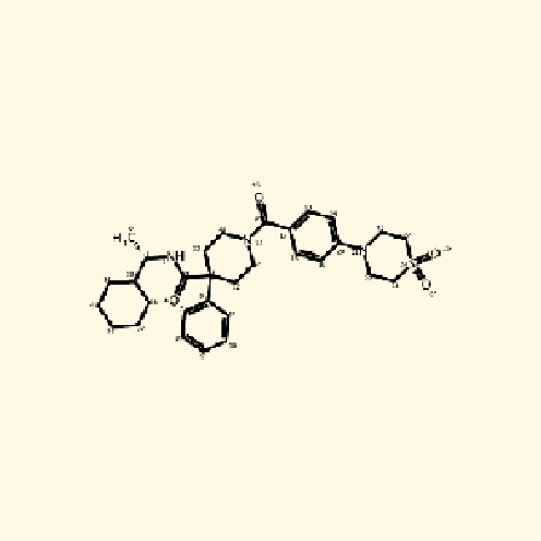 C[C@H](NC(=O)C1(c2ccccc2)CCN(C(=O)c2ccc(N3CCS(=O)(=O)CC3)cc2)CC1)C1CCCCC1